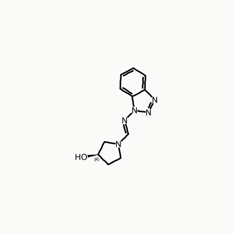 O[C@@H]1CCN(C=Nn2nnc3ccccc32)C1